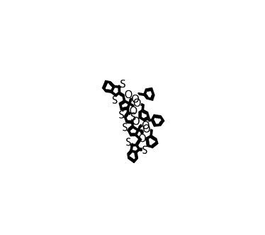 O=C(OCc1ccccc1)C1(C(=O)OCc2ccccc2)C(C=C2C(=S)c3ccccc3C2=S)=Cc2sc3c(sc4c5c(sc43)C=C(C=C3C(=S)c4ccccc4C3=S)C5(C(=O)OCc3ccccc3)C(=O)OCc3ccccc3)c21